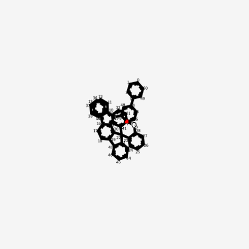 c1ccc(-c2cccc(-n3c4ccccc4c4ccc5c(c43)C3(c4ccccc4Oc4ccc(-c6ccccc6)cc43)c3ccccc3-5)c2)cc1